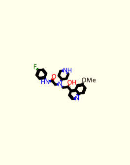 COc1ccc2nccc([C@H](O)CN(CC(=O)Nc3ccc(F)cc3)C3CCNCC3)c2c1